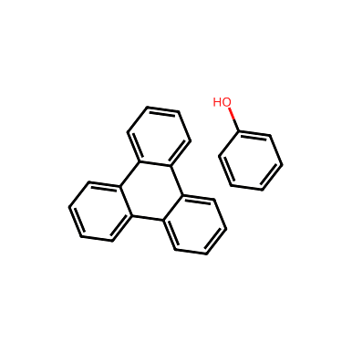 Oc1ccccc1.c1ccc2c(c1)c1ccccc1c1ccccc21